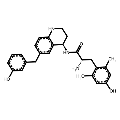 Cc1cc(O)cc(C)c1C[C@H](N)C(=O)N[C@@H]1CCNc2ccc(Cc3cccc(O)c3)cc21